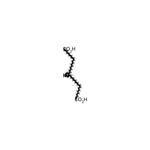 O=C(O)CCCCCCC/C=C\CCCCCCCCc1ccccc1CCCCCCCC/C=C\CCCCCCCC(=O)O.[Na-2]